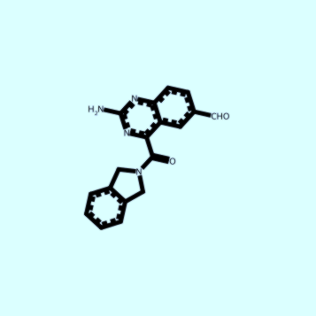 Nc1nc(C(=O)N2Cc3ccccc3C2)c2cc(C=O)ccc2n1